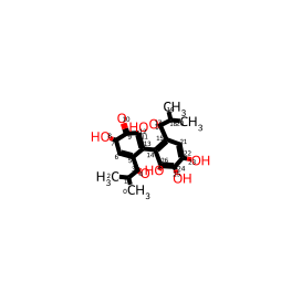 CC(C)C(=O)C1=CC(O)C(=O)C(O)=C1c1c(C(=O)C(C)C)cc(O)c(O)c1O